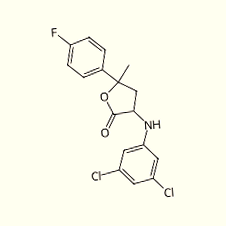 CC1(c2ccc(F)cc2)CC(Nc2cc(Cl)cc(Cl)c2)C(=O)O1